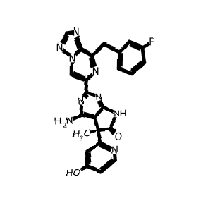 C[C@]1(c2cc(O)ccn2)C(=O)Nc2nc(-c3cn4ncnc4c(Cc4cccc(F)c4)n3)nc(N)c21